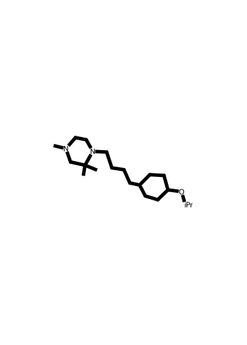 CC(C)OC1CCC(CCCCN2CCN(C)CC2(C)C)CC1